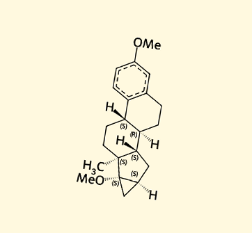 COc1ccc2c(c1)CC[C@@H]1[C@@H]2CC[C@@]2(C)[C@H]1C[C@H]1C[C@]12OC